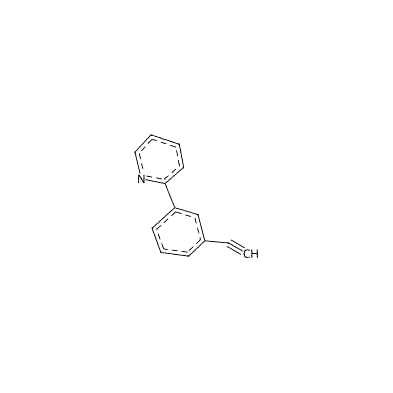 C#Cc1cccc(-c2ccccn2)c1